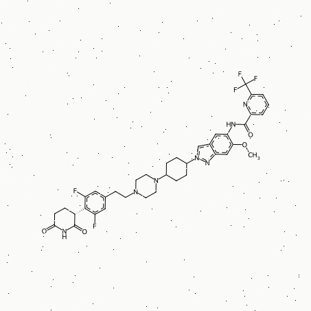 COc1cc2nn(C3CCC(N4CCN(CCc5cc(F)c([C@H]6CCC(=O)NC6=O)c(F)c5)CC4)CC3)cc2cc1NC(=O)c1cccc(C(F)(F)F)n1